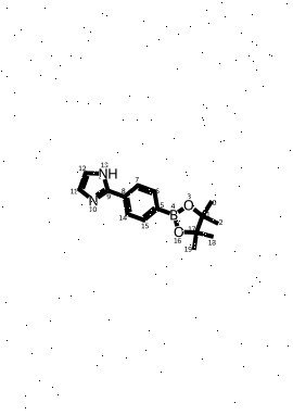 CC1(C)OB(c2ccc(-c3ncc[nH]3)cc2)OC1(C)C